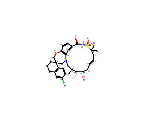 CC[C@@H]1[C@@H](C)CN2C[C@@]3(CCCc4cc(Cl)ccc43)COc3ccc(cc32)C(=O)NS(=O)(=O)C(C)(C)C/C=C/C[C@@H]1O